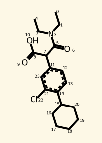 CCN(CC)C(=O)C(C(=O)O)c1ccc(C2CCCCC2)c(Cl)c1